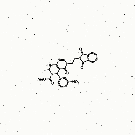 COC(=O)N1C(C)NC2=C(C(=O)C(CCN3C(=O)c4ccccc4C3=O)C=N2)C1c1cccc([N+](=O)[O-])c1